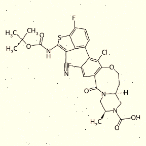 C[C@H]1CN2C(=O)c3cc(F)c(-c4ccc(F)c5sc(NC(=O)OC(C)(C)C)c(C#N)c45)c(Cl)c3OCC[C@H]2CN1C(=O)O